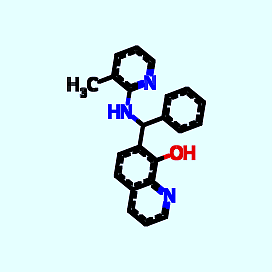 Cc1cccnc1NC(c1ccccc1)c1ccc2cccnc2c1O